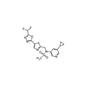 CS(=O)(=O)N(Cc1ncc(-c2nnc(C(F)F)o2)s1)c1cncc(C2CC2)c1